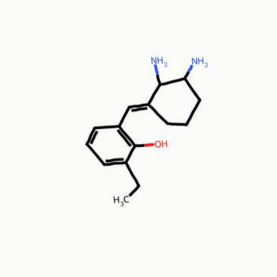 CCc1cccc(C=C2CCCC(N)C2N)c1O